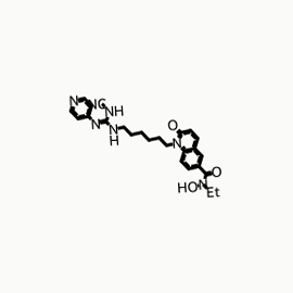 CCN(O)C(=O)c1ccc2c(ccc(=O)n2CCCCCCNC(=Nc2ccncc2)NC#N)c1